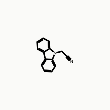 N#CCn1c2ccccc2c2ccccc21